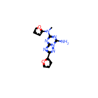 CN(c1nc(N)n2nc(-c3ccco3)nc2n1)c1ccco1